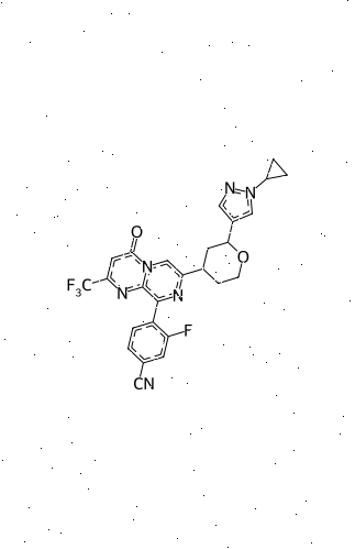 N#Cc1ccc(-c2nc(C3CCOC(c4cnn(C5CC5)c4)C3)cn3c(=O)cc(C(F)(F)F)nc23)c(F)c1